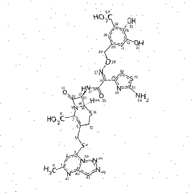 Cc1cc(SCC2=C(C(=O)O)N3C(=O)[C@@H](NC(=O)C(=NOCc4cc(O)c(O)c(C(=O)O)c4)c4csc(N)n4)[C@H]3SC2)n2nncc2n1